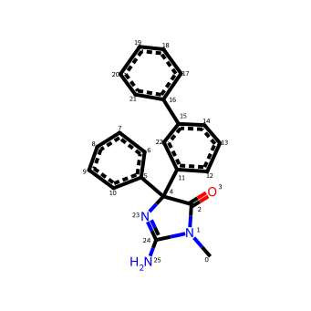 CN1C(=O)C(c2ccccc2)(c2cccc(-c3ccccc3)c2)N=C1N